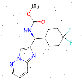 CC(C)(C)OC(=O)N[C@H](c1cn2ncccc2n1)C1CCC(F)(F)CC1